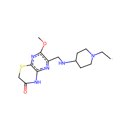 [CH2]CN1CCC(NCc2nc3c(nc2OC)SCC(=O)N3)CC1